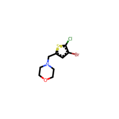 Clc1sc(CN2CCOCC2)cc1Br